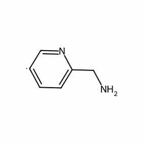 NCc1cc[c]cn1